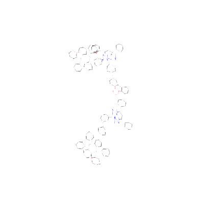 c1ccc(-c2cc(-c3ccc(-c4cccc5c4oc4ccc(-c6ccc(-c7nc(-c8ccccc8)cc(-c8ccccc8)n7)c(-c7ccc8c(c7)-c7ccccc7C87c8ccccc8C8(c9ccccc9-c9ccccc98)c8ccccc87)c6)cc45)cc3)nc(-c3cccc(-c4ccc(-c5ccc6c(c5)C5(c7ccccc7-c7ccccc75)c5ccccc5C65c6ccccc6-c6ccccc65)cc4)c3)n2)cc1